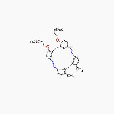 CCCCCCCCCCCCOc1ccc2cc1Cc1cc(ccc1OCCCCCCCCCCCC)/N=N/c1ccc(C)c(c1)Cc1cc(ccc1C)/N=N/2